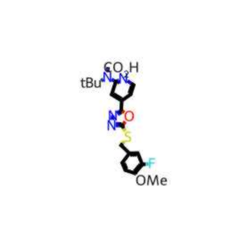 COc1ccc(CSc2nnc(-c3ccnc(N(C(=O)O)C(C)(C)C)c3)o2)cc1F